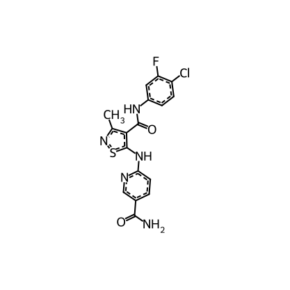 Cc1nsc(Nc2ccc(C(N)=O)cn2)c1C(=O)Nc1ccc(Cl)c(F)c1